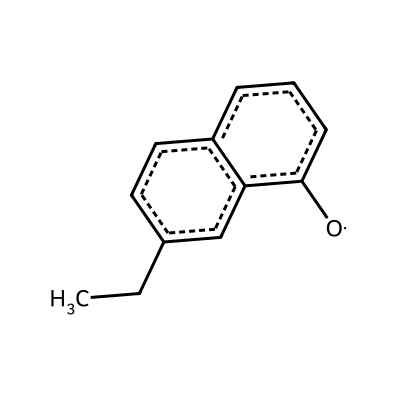 CCc1ccc2cccc([O])c2c1